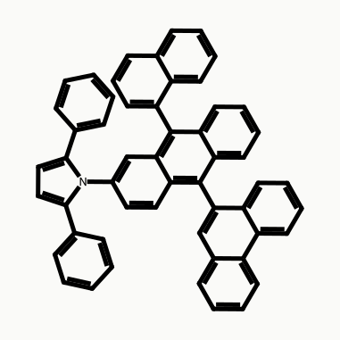 c1ccc(-c2ccc(-c3ccccc3)n2-c2ccc3c(-c4cc5ccccc5c5ccccc45)c4ccccc4c(-c4cccc5ccccc45)c3c2)cc1